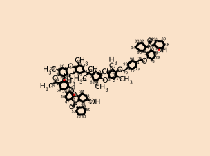 Cc1cc(Oc2c(C)cc(C(C)(C)c3cc(C)c(Oc4cc(C)c(OC(C)c5ccc(COc6ccc(O)cc6P(=O)(c6ccccc6)c6ccccc6)cc5)c(C)c4)c(C)c3)cc2C)cc(C)c1OCc1ccc(COc2ccc(O)c(P(=O)(c3ccccc3)c3ccccc3)c2)cc1